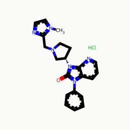 Cl.Cn1ccnc1CN1CC[C@H](n2c(=O)n(-c3ccccc3)c3cccnc32)C1